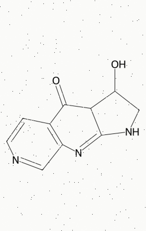 O=C1c2ccncc2N=C2NCC(O)C12